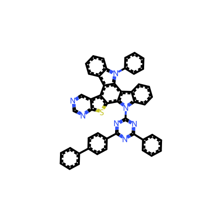 c1ccc(-c2ccc(-c3nc(-c4ccccc4)nc(-n4c5ccccc5c5c4c4sc6ncncc6c4c4c6ccccc6n(-c6ccccc6)c45)n3)cc2)cc1